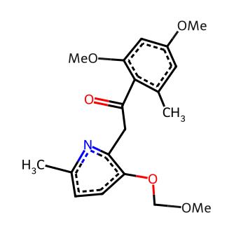 COCOc1ccc(C)nc1CC(=O)c1c(C)cc(OC)cc1OC